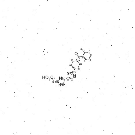 Cc1ccccc1C(=O)N1CCN(c2ncc(-c3nnn(CC(=O)O)n3)s2)CC1